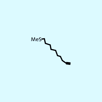 C#CCCCCCCCCSC